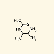 CC(=S)NC(C)C(C)N